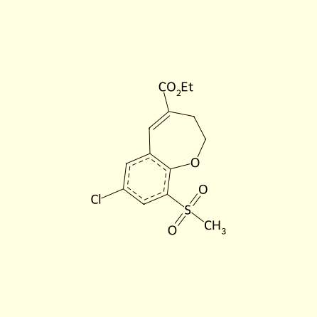 CCOC(=O)C1=Cc2cc(Cl)cc(S(C)(=O)=O)c2OCC1